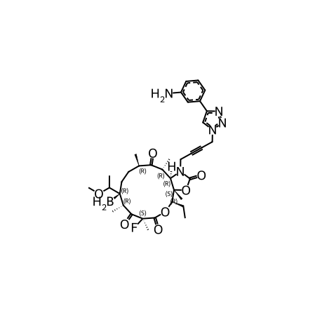 B[C@@]1(C(C)OC)CC[C@@H](C)C(=O)[C@H](C)[C@H]2N(CC#CCn3cc(-c4cccc(N)c4)nn3)C(=O)O[C@]2(C)[C@@H](CC)OC(=O)[C@@](C)(F)C(=O)[C@@H]1C